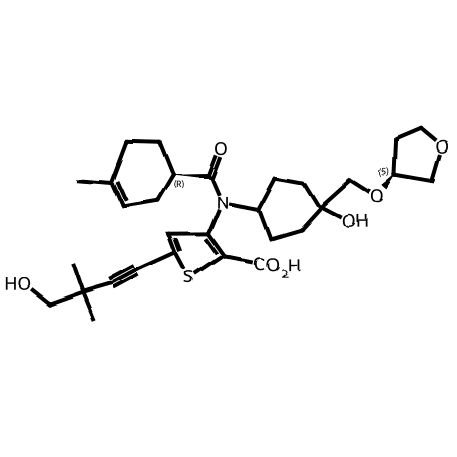 CC1=CC[C@H](C(=O)N(c2cc(C#CC(C)(C)CO)sc2C(=O)O)C2CCC(O)(CO[C@H]3CCOC3)CC2)CC1